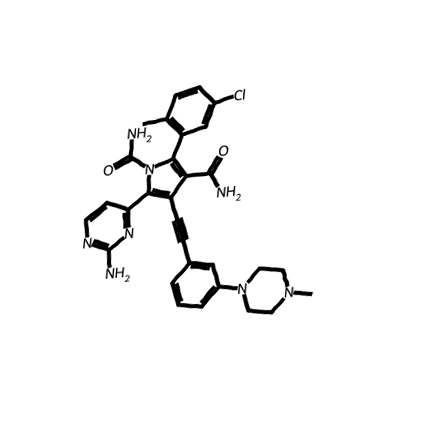 Cc1ccc(Cl)cc1-c1c(C(N)=O)c(C#Cc2cccc(N3CCN(C)CC3)c2)c(-c2ccnc(N)n2)n1C(N)=O